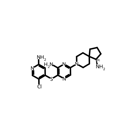 Nc1cc(Sc2ncc(N3CCC4(CCC[C@H]4N)CC3)nc2N)c(Cl)cn1